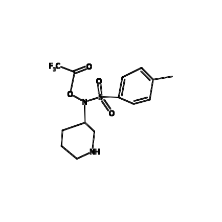 Cc1ccc(S(=O)(=O)N(OC(=O)C(F)(F)F)C2CCCNC2)cc1